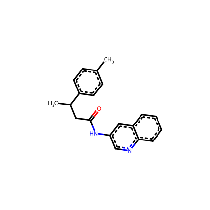 Cc1ccc(C(C)CC(=O)Nc2cnc3ccccc3c2)cc1